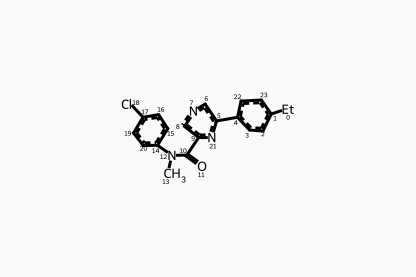 CCc1ccc(-c2cncc(C(=O)N(C)c3ccc(Cl)cc3)n2)cc1